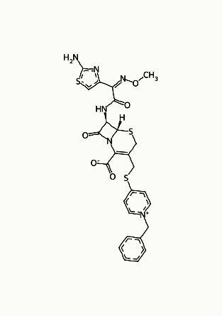 CO/N=C(\C(=O)N[C@@H]1C(=O)N2C(C(=O)[O-])=C(CSc3cc[n+](Cc4ccccc4)cc3)CS[C@@H]12)c1csc(N)n1